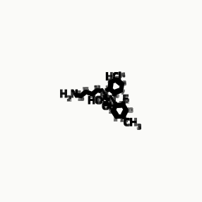 Cc1ccc(N2c3ccccc3N(CCCCN)S2(O)O)c(F)c1.Cl